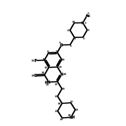 CC(=O)N1CCC(COc2cc(F)c3c(=O)[nH]c(CCC4CCNCC4)nc3c2)CC1